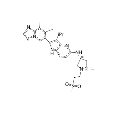 Cc1c(-c2[nH]c3ccc(N[C@@H]4C[C@H](C)N(CCS(C)(=O)=O)C4)nc3c2C(C)C)cn2ncnc2c1C